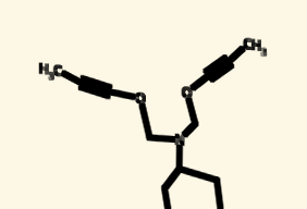 CC#COCN(COC#CC)C1CCCCC1